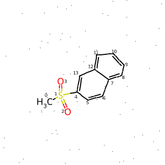 CS(=O)(=O)c1c[c]c2ccccc2c1